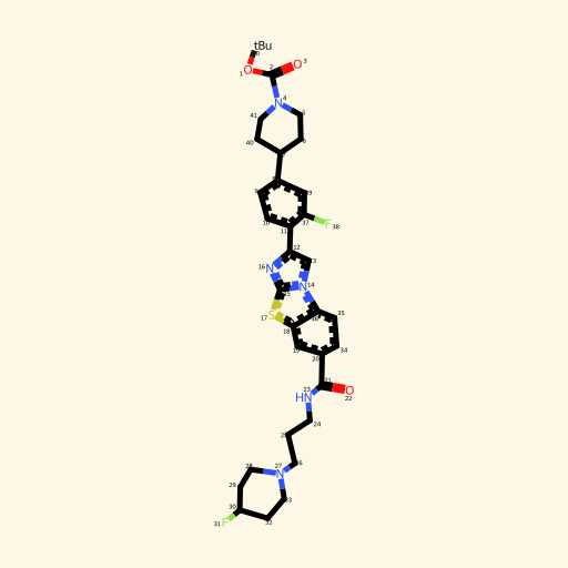 CC(C)(C)OC(=O)N1CCC(c2ccc(-c3cn4c(n3)sc3cc(C(=O)NCCCN5CCC(F)CC5)ccc34)c(F)c2)CC1